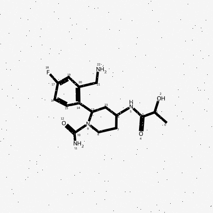 CC(O)C(=O)NC1CCN(C(N)=O)C(c2ccc(F)cc2CN)C1